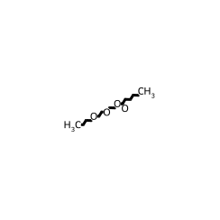 CCCCCC(=O)OCCOCCOCCCC